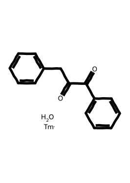 O.O=C(Cc1ccccc1)C(=O)c1ccccc1.[Tm]